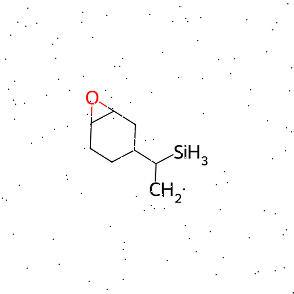 [CH2]C([SiH3])C1CCC2OC2C1